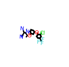 CC1Oc2cc(Oc3ccc(C(F)(F)F)cc3Cl)ccc2N(C)C1=C(C#N)C#N